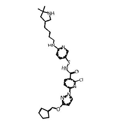 CC1(C)CC(CCCCNc2ccc(SNC(=O)c3ccc(-n4ccc(OCC5CCCC5)n4)nc3Cl)cn2)CN1